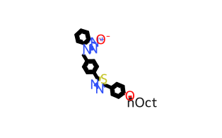 CCCCCCCCOc1ccc(-c2nnc(-c3ccc(Cn4n[n+]([O-])c5ccccc54)cc3)s2)cc1